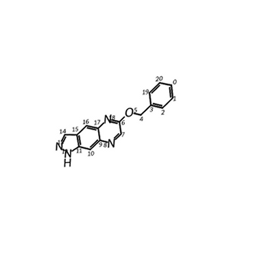 c1ccc(COc2cnc3cc4[nH]ncc4cc3n2)cc1